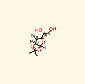 CC1(C)O[C@H]2O[C@@H]([C@H](O)CO)[C@H](F)[C@H]2O1